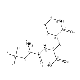 CC(C)(C)CC(N)C(=O)NC(C[C@@H]1CCCNC1=O)C(=O)O